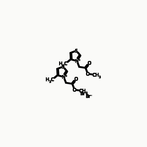 COC(=O)C[n+]1cscc1C.COC(=O)C[n+]1cscc1C.[Br-].[Br-]